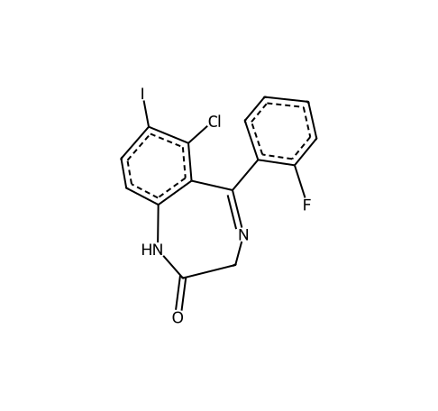 O=C1CN=C(c2ccccc2F)c2c(ccc(I)c2Cl)N1